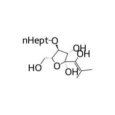 CCCCCCCO[C@@H]1[C@@H](CO)O[C@](O)(C(O)=C(C)C)[C@H]1O